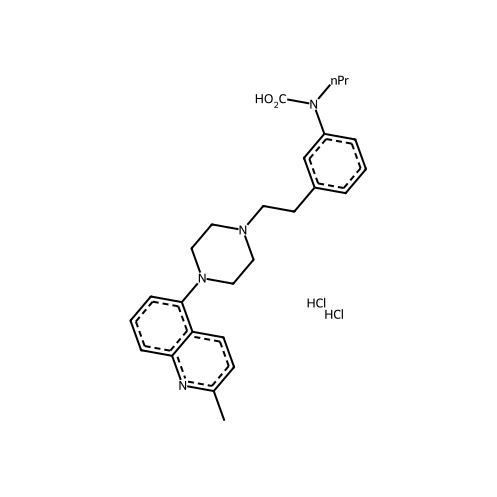 CCCN(C(=O)O)c1cccc(CCN2CCN(c3cccc4nc(C)ccc34)CC2)c1.Cl.Cl